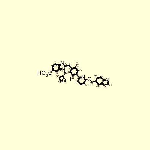 O=C(O)c1ccc2nc(Cc3cc(F)c(-c4cccc(OCc5ccc6ncsc6c5)n4)cc3F)n(C[C@@H]3CCO3)c2c1